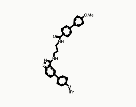 COc1ccc(-c2ccc(C(=O)NCCCNc3nsc4ccc(-c5ccc(OC(C)C)cc5)cc34)cc2)cc1